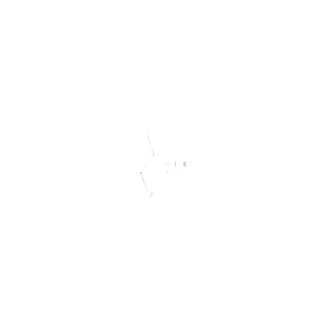 CC[CH2][Al].[HH].[HH]